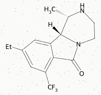 CCc1cc2c(c(C(F)(F)F)c1)C(=O)N1CCN[C@@H](C)[C@@H]21